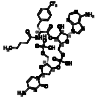 C=CCCC(=O)N[C@H](Cc1ccc(C(F)(F)F)cc1)C(=O)O[C@H]1[C@@H](O)[C@H](n2cnc3c(N)ncnc32)O[C@H]1COP(=O)(O)O[C@H]1C[C@@H](n2ccc(N)nc2=O)O[C@@H]1COP(=O)(O)O